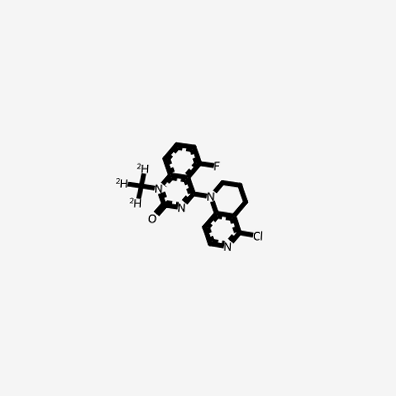 [2H]C([2H])([2H])n1c(=O)nc(N2CCCc3c2ccnc3Cl)c2c(F)cccc21